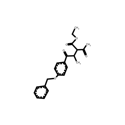 CCOC(=O)C(C(C)=O)C(C)C(=O)c1ccc(OCc2ccccc2)cc1